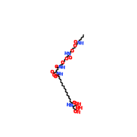 CCCCCNC(=O)COCCOCCNC(=O)COCCOCCNC(=O)CCC(NC(=O)CCCCCCCCCCCCCCCCC(=O)NC(CC(=O)O)C(O)O)C(=O)O